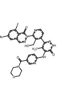 Cc1c(-c2ccnc(-n3ncc4cc(C(C)(C)C)cc(F)c4c3=O)c2CO)n[nH]c(=O)c1Nc1ccc(C(=O)N2CCOCC2)cn1